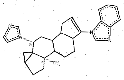 C[C@]12CCC3CC31[C@H](n1ccnc1)CC1C3CC=C(n4cnc5ccccc54)C3CCC12